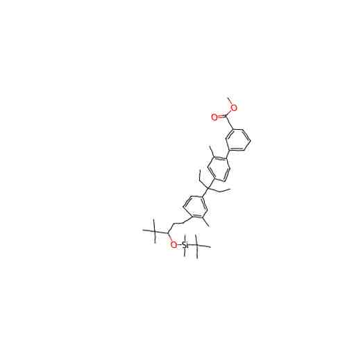 CCC(CC)(c1ccc(CCC(O[Si](C)(C)C(C)(C)C)C(C)(C)C)c(C)c1)c1ccc(-c2cccc(C(=O)OC)c2)c(C)c1